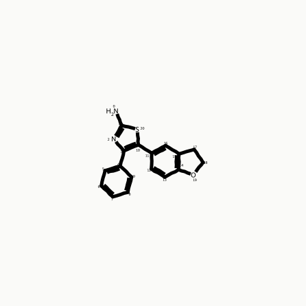 Nc1nc(-c2ccccc2)c(-c2ccc3c(c2)CCO3)s1